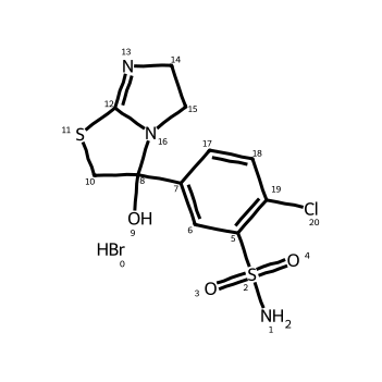 Br.NS(=O)(=O)c1cc(C2(O)CSC3=NCCN32)ccc1Cl